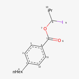 CCCCCCc1ccc(C(=O)OC(I)C(C)C)cc1